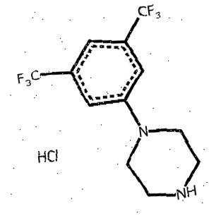 Cl.FC(F)(F)c1cc(N2CCNCC2)cc(C(F)(F)F)c1